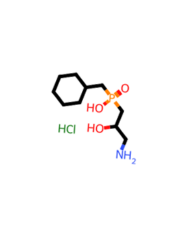 Cl.NCC(O)CP(=O)(O)CC1CCCCC1